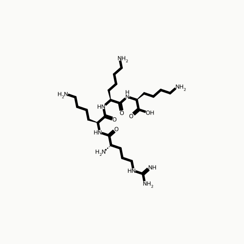 N=C(N)NCCC[C@H](N)C(=O)N[C@@H](CCCCN)C(=O)N[C@@H](CCCCN)C(=O)N[C@@H](CCCCN)C(=O)O